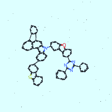 c1ccc(-c2nc(-c3ccccc3)nc(-c3ccc4oc5ccc(-n6c7ccc(-c8ccc9sc%10ccccc%10c9c8)cc7c7c8cccc9c8c(cc76)-c6ccccc6-9)cc5c4c3)n2)cc1